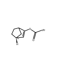 CCCC(=O)OC1=C[C@@H]2CCC1C2